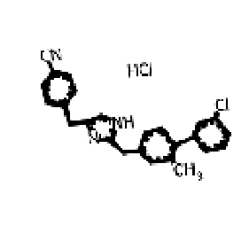 Cc1cc(Cc2nc(Cc3ccc(C#N)cc3)c[nH]2)ccc1-c1cccc(Cl)c1.Cl